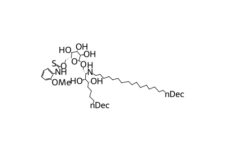 CCCCCCCCCCCCCCCCCCCCCCCCCCN[C@@H](CO[C@H]1O[C@H](COC(=S)Nc2ccccc2OC)[C@H](O)[C@H](O)[C@H]1O)[C@H](O)[C@H](O)CCCCCCCCCCCCCC